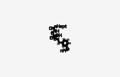 CCCCCCCC(=O)NOP(=O)(O)OCCc1cccc(OCCC)c1